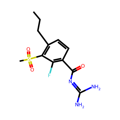 CCCc1ccc(C(=O)N=C(N)N)c(F)c1S(C)(=O)=O